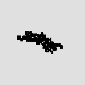 Cc1ccc(Nc2nccc(N(C)c3ccc4c(C)n(C)nc4c3)n2)cc1CS(N)(=O)=O